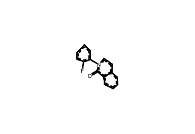 O=c1c2ccccc2ccn1-c1ccccc1F